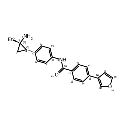 CC[C@]1(N)C[C@H]1c1ccc(NC(=O)c2ccc(-c3ccoc3)cc2)cc1